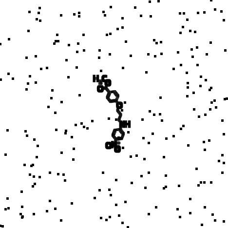 COC(=O)c1ccc(OCCCNc2ccc([N+](=O)[O-])cc2)cc1